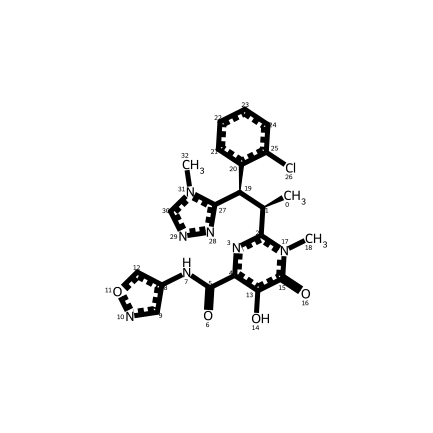 C[C@@H](c1nc(C(=O)Nc2cnoc2)c(O)c(=O)n1C)[C@H](c1ccccc1Cl)c1nncn1C